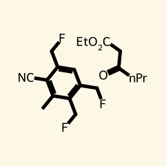 CCCC(=O)CC(=O)OCC.Cc1c(C#N)c(CF)cc(CF)c1CF